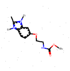 CCn1c(C)[n+](CC)c2ccc(OCCNC(=O)OC(C)(C)C)cc21